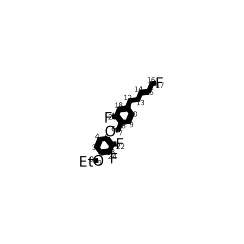 CCOc1ccc(OCc2ccc(CCC=CCF)cc2F)c(F)c1F